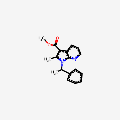 COC(=O)c1c(C)n(C(C)c2ccccc2)c2ncccc12